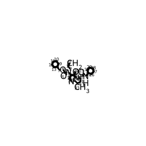 C=CCN(C(=O)OCc1ccccc1)c1cnc2n(c1=O)[C@H](C(=O)Nc1ccccc1)CC2C